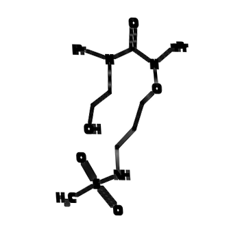 [CH2]CCN(OCCCNS(C)(=O)=O)C(=O)N(CCO)C(C)C